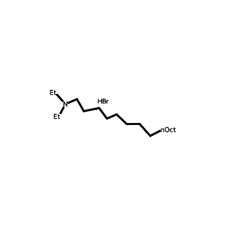 Br.CCCCCCCCCCCCCCCCN(CC)CC